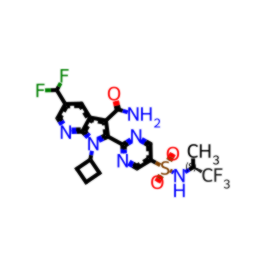 C[C@H](NS(=O)(=O)c1cnc(-c2c(C(N)=O)c3cc(C(F)F)cnc3n2C2CCC2)nc1)C(F)(F)F